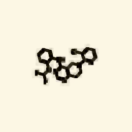 FC(F)Oc1ccccc1Nc1ncnc2c1CN(c1ncccc1Cl)CC2